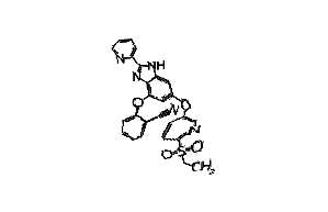 CCS(=O)(=O)c1ccc(Oc2cc(Oc3ccccc3C#N)c3nc(-c4ccccn4)[nH]c3c2)cn1